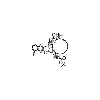 Cc1nc2cccc(F)c2nc1O[C@@H]1C[C@H]2C(=O)N[C@]3(C(=O)O)C[C@H]3C=CCCCCC[C@H](NC(=O)OC(C)(C)C)C(=O)N2C1